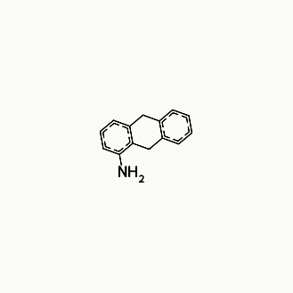 Nc1cccc2c1Cc1ccccc1C2